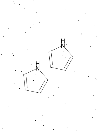 c1cc[nH]c1.c1cc[nH]c1